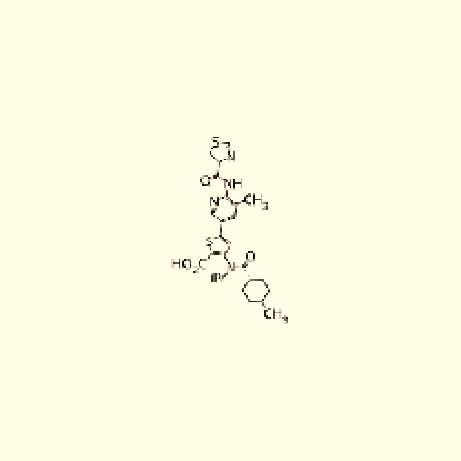 Cc1cc(-c2cc(N(C(=O)[C@H]3CC[C@H](C)CC3)C(C)C)c(C(=O)O)s2)cnc1NC(=O)C1CSC=N1